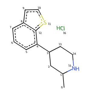 CC1CC(c2cccc3ccsc23)CCN1.Cl